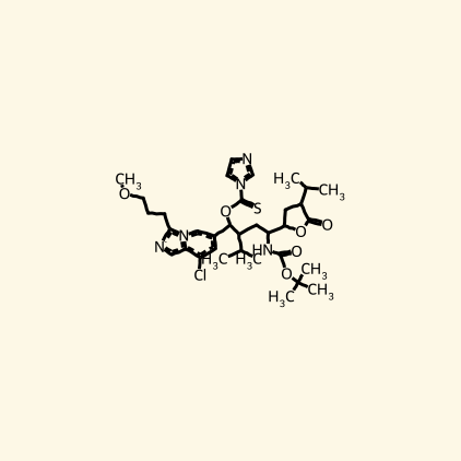 COCCCc1ncc2c(Cl)cc(C(OC(=S)n3ccnc3)C(CC(NC(=O)OC(C)(C)C)C3CC(C(C)C)C(=O)O3)C(C)C)cn12